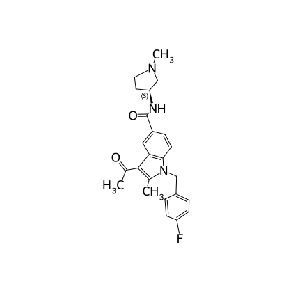 CC(=O)c1c(C)n(Cc2ccc(F)cc2)c2ccc(C(=O)N[C@H]3CCN(C)C3)cc12